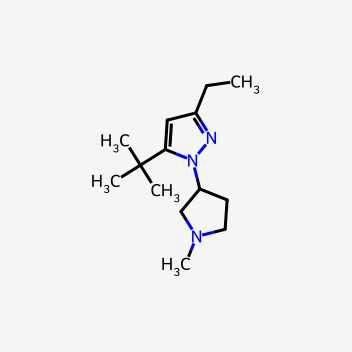 CCc1cc(C(C)(C)C)n(C2CCN(C)C2)n1